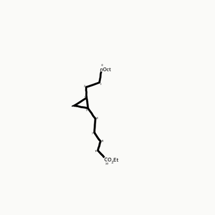 CCCCCCCCCCC1CC1CCCCC(=O)OCC